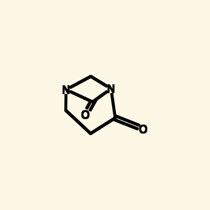 O=C1CCN2CN1C2=O